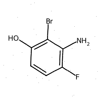 Nc1c(F)ccc(O)c1Br